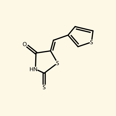 O=C1NC(=S)SC1=Cc1ccsc1